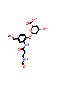 COCc1ccc(O[C@H]2C[C@@H](O)C[C@@H](C(=O)O)O2)c(NC(=O)CCNC=O)c1